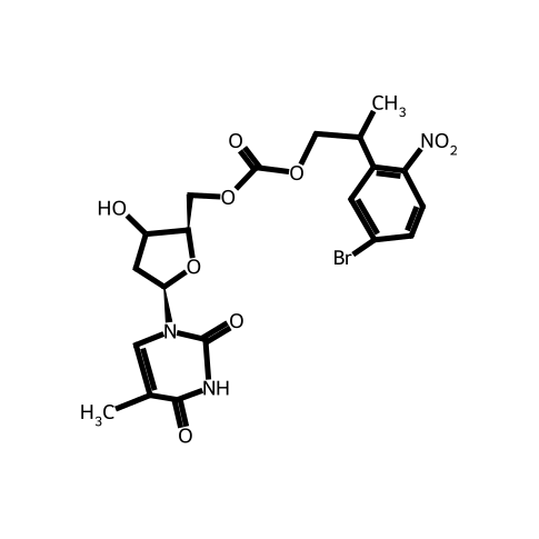 Cc1cn([C@H]2CC(O)[C@@H](COC(=O)OCC(C)c3cc(Br)ccc3[N+](=O)[O-])O2)c(=O)[nH]c1=O